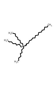 CCCCCCCCCCCCCCC=C[Si](CCCCCCCC)(CCCCCCCC)CCCCCCCC